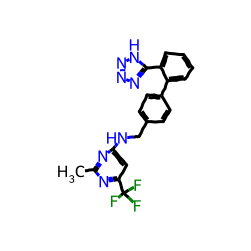 Cc1nc(NCc2ccc(-c3ccccc3-c3nnn[nH]3)cc2)cc(C(F)(F)F)n1